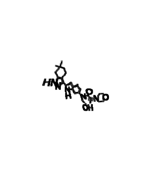 C[C@@H](C(=O)N(CCO)c1ccc2cc(-c3n[nH]c4c3CCC(C)(C)C4)[nH]c2c1)N1CCOCC1